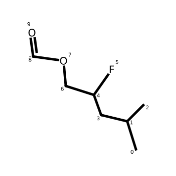 CC(C)CC(F)CO[C]=O